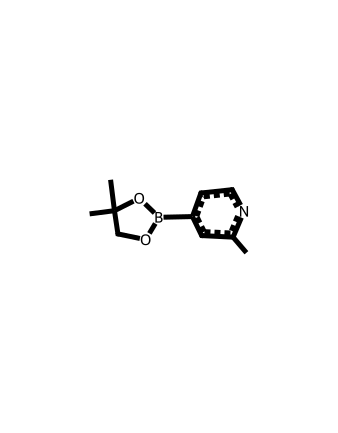 Cc1cc(B2OCC(C)(C)O2)ccn1